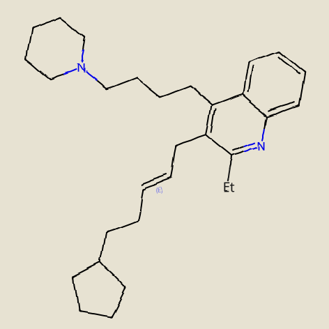 CCc1nc2ccccc2c(CCCCN2CCCCC2)c1C/C=C/CCC1CCCC1